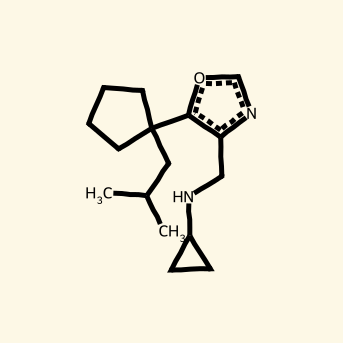 CC(C)CC1(c2ocnc2CNC2CC2)CCCC1